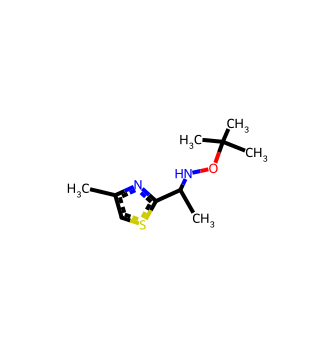 Cc1csc(C(C)NOC(C)(C)C)n1